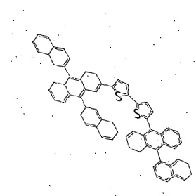 C1=CCC2C(=C1)C(C1C=C3CCC=CC3=CC1)=C1C=C(c3ccc(-c4ccc(-c5c6c(c(-c7cccc8c7=CCCC=8)c7ccccc57)CCC=C6)s4)s3)CCC1=C2C1=CC=C2C=CC=CC2C1